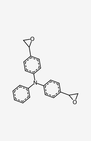 c1ccc(N(c2ccc(C3CO3)cc2)c2ccc(C3CO3)cc2)cc1